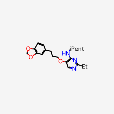 CCCC(C)Nc1nc(CC)ncc1OCCCc1ccc2c(c1)OCO2